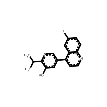 CC(C)c1ncc(-c2ccnc3ccc(F)cc23)cc1O